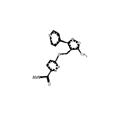 CNC(=O)c1ccc(OCc2c(-c3ccncc3)noc2C)nn1